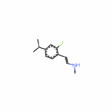 CNC=Cc1ccc(C(C)C)cc1F